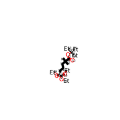 CCO[Si](CCCC(C)(C)C(=O)O[Si](CC)(CC)CC)(OCC)OCC